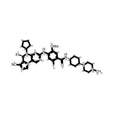 CC[C@@H]1c2c(C#N)ncn2-c2cnc(Nc3cc(F)c(C(=O)N[C@H]4CC[C@H](N5CCN(C)CC5)CC4)cc3OC)nc2N1C1CCCC1